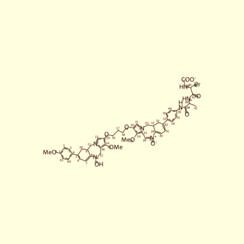 COc1ccc(C2=CC=C3C(C2)Cn2cc(OCCCOc4cn5c(c4OC)C=[N+]([O-])C4=CC=C(c6ccc(NC(=O)C(C)NC(=O)C(NC(=O)[O-])C(C)C)cc6)CC4C5)c(OC)c2C=[N+]3O)cc1